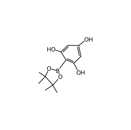 CC1(C)OB(c2c(O)cc(O)cc2O)OC1(C)C